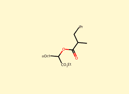 CCCCCCCCC(OC(=O)C(C)CC(C)C)C(=O)OCC